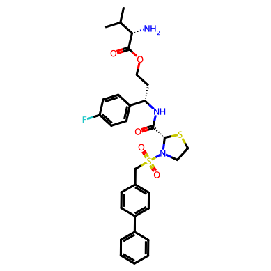 CC(C)[C@H](N)C(=O)OCC[C@H](NC(=O)[C@@H]1SCCN1S(=O)(=O)Cc1ccc(-c2ccccc2)cc1)c1ccc(F)cc1